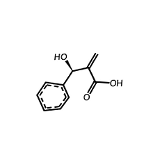 C=C(C(=O)O)[C@H](O)c1ccccc1